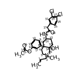 C=CC[N@@+]1(C)CC[C@@]2(c3cccc(OC(C)=O)c3)C[C@@H](NC(=O)Cc3ccc(Cl)c(Cl)c3)CCC2(O)C1